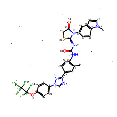 Cc1cc(-c2ncn(-c3ccc(OC(F)(F)C(F)(F)F)cc3)n2)ccc1NC(=O)/N=C1\SCC(=O)N1c1ccc2c(ccn2C)c1